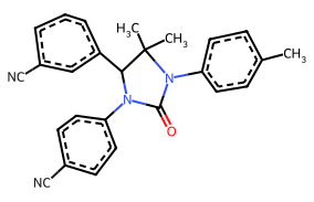 Cc1ccc(N2C(=O)N(c3ccc(C#N)cc3)C(c3cccc(C#N)c3)C2(C)C)cc1